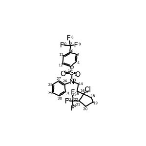 O=S(=O)(c1ccc(C(F)(F)F)cc1)N(CCC1(Cl)CCCC1C(F)(F)F)c1ccccc1